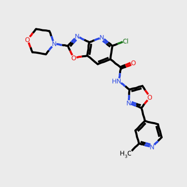 Cc1cc(-c2nc(NC(=O)c3cc4oc(N5CCOCC5)nc4nc3Cl)co2)ccn1